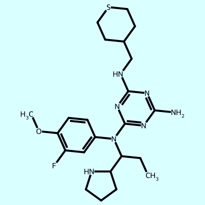 CCC(C1CCCN1)N(c1ccc(OC)c(F)c1)c1nc(N)nc(NCC2CCSCC2)n1